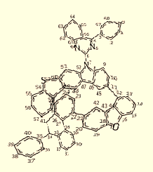 c1ccc(-c2nc(-n3c4ccc(-c5cccc6oc7ccc(-c8cccc9c8-c8ccccc8C(c8ccccc8)C9)cc7c56)cc4c4cc5c(cc43)sc3ccccc35)nc3ccccc23)cc1